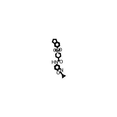 O=C(Nc1ccc2oc(C3CC3)nc2c1)C1CCN(S(=O)(=O)c2ccc3c(c2)CCC3)CC1